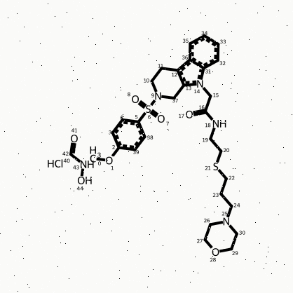 COc1ccc(S(=O)(=O)N2CCc3c(n(CC(=O)NCCSCCCN4CCOCC4)c4ccccc34)C2)cc1.Cl.O=CNO